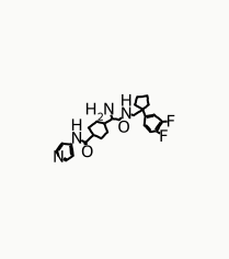 NC(C(=O)NCC1(c2ccc(F)c(F)c2)CCCC1)C1CCC(C(=O)Nc2ccncc2)CC1